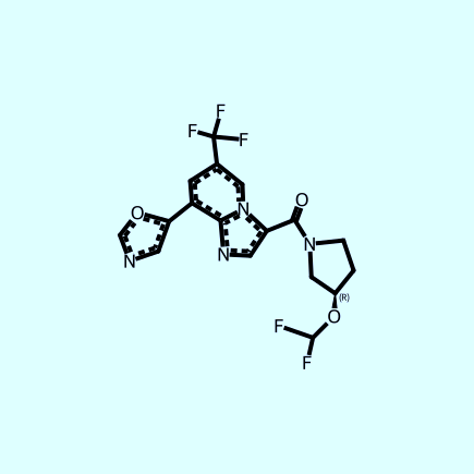 O=C(c1cnc2c(-c3cnco3)cc(C(F)(F)F)cn12)N1CC[C@@H](OC(F)F)C1